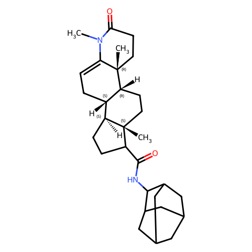 CN1C(=O)CC[C@@]2(C)C1=CC[C@@H]1[C@H]2CC[C@]2(C)C(C(=O)NC3C4CC5CC(C4)CC3C5)CC[C@@H]12